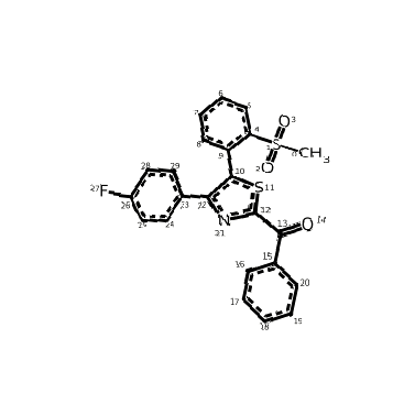 CS(=O)(=O)c1ccccc1-c1sc(C(=O)c2ccccc2)nc1-c1ccc(F)cc1